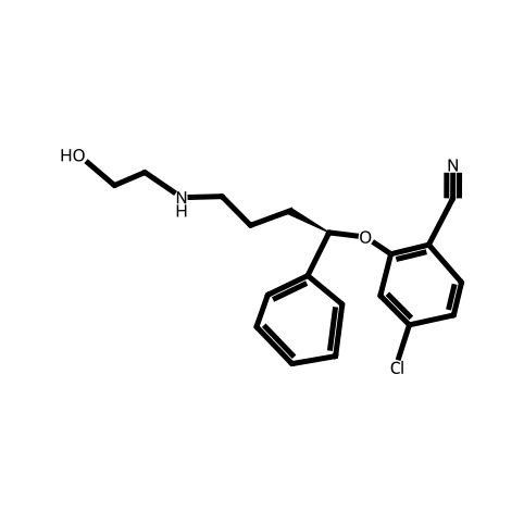 N#Cc1ccc(Cl)cc1O[C@H](CCCNCCO)c1ccccc1